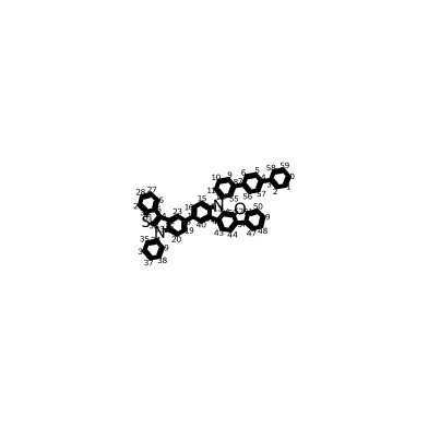 c1ccc(-c2ccc(-c3cccc(-n4c5ccc(-c6ccc7c(c6)c6c8ccccc8sc6n7-c6ccccc6)cc5c5ccc6c7ccccc7oc6c54)c3)cc2)cc1